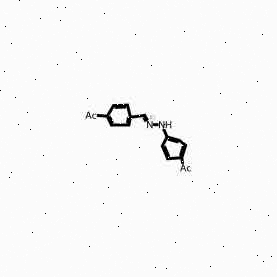 CC(=O)c1ccc(/C=N/Nc2ccc(C(C)=O)cc2)cc1